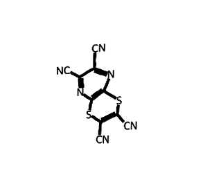 N#CC1=C(C#N)Sc2nc(C#N)c(C#N)nc2S1